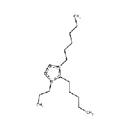 CCCCCCn1cc[n+](CCC)c1CCCCC